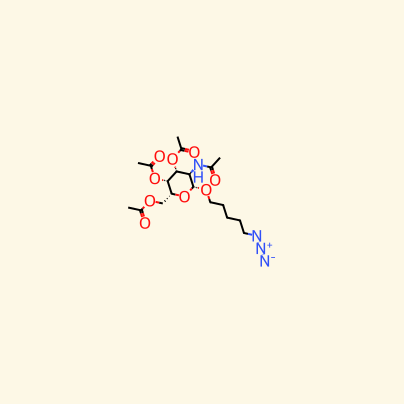 CC(=O)N[C@H]1[C@H](OCCCCCN=[N+]=[N-])O[C@H](COC(C)=O)[C@H](OC(C)=O)[C@@H]1OC(C)=O